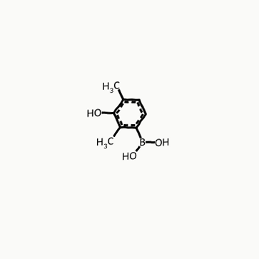 Cc1ccc(B(O)O)c(C)c1O